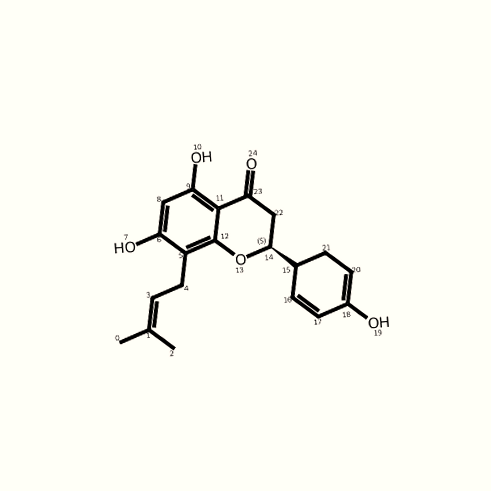 CC(C)=CCc1c(O)cc(O)c2c1O[C@H](C1C=CC(O)=CC1)CC2=O